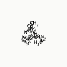 C=CC(=O)N1CCN(c2nc(OC[C@@H]3CCCN3C)nc3c2CCN(c2cccc4ccncc24)C3)C[C@@H]1CC#N